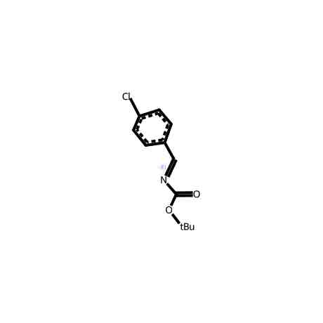 CC(C)(C)OC(=O)/N=C/c1ccc(Cl)cc1